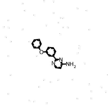 Nc1ccnc(-c2cccc(Oc3ccccc3)c2)n1